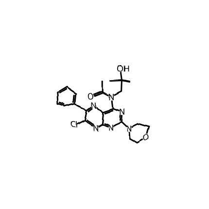 CC(=O)N(CC(C)(C)O)c1nc(N2CCOCC2)nc2nc(Cl)c(-c3ccccc3)nc12